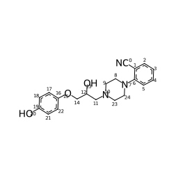 N#Cc1ccccc1N1CCN(CC(O)COc2ccc(O)cc2)CC1